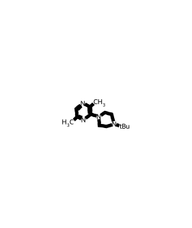 Cc1cnc(C)c(N2CCN(C(C)(C)C)CC2)n1